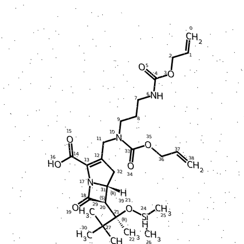 C=CCOC(=O)NCCCN(CC1=C(C(=O)O)N2C(=O)[C@H]([C@@](C)(O[SiH](C)C)C(C)(C)C)[C@H]2C1)C(=O)OCC=C